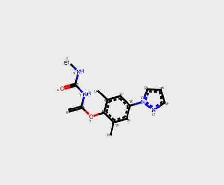 C=C(NC(=O)NCC)Oc1c(C)cc(-n2cccn2)cc1C